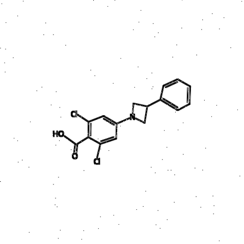 O=C(O)c1c(Cl)cc(N2CC(c3ccccc3)C2)cc1Cl